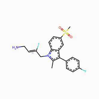 Cc1c(-c2ccc(F)cc2)c2cc(S(C)(=O)=O)ccc2n1C/C(F)=C/CN